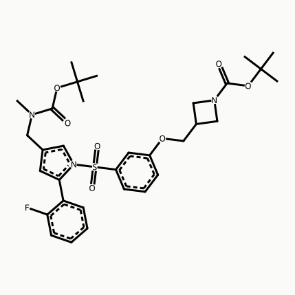 CN(Cc1cc(-c2ccccc2F)n(S(=O)(=O)c2cccc(OCC3CN(C(=O)OC(C)(C)C)C3)c2)c1)C(=O)OC(C)(C)C